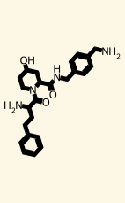 NCc1ccc(CNC(=O)C2CC(O)CCN2C(=O)C(N)CCc2ccccc2)cc1